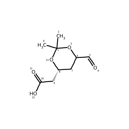 CC1(C)OC(C=O)C[C@H](CC(=O)O)O1